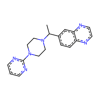 CC(c1ccc2nccnc2c1)N1CCN(c2nc[c]cn2)CC1